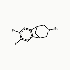 CCN1CC2CC(C1)c1cc(F)c(F)cc12